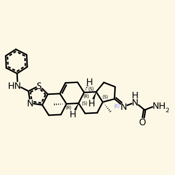 C[C@]12CCc3nc(Nc4ccccc4)sc3C1=CC[C@@H]1[C@@H]2CC[C@]2(C)/C(=N/NC(N)=O)CC[C@@H]12